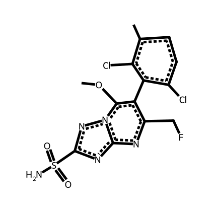 COc1c(-c2c(Cl)ccc(C)c2Cl)c(CF)nc2nc(S(N)(=O)=O)nn12